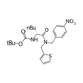 [CH2]CCC[C@@H](NC(=O)OC(C)(C)C)C(=O)N(Cc1ccc([N+](=O)[O-])cc1)Cc1cccs1